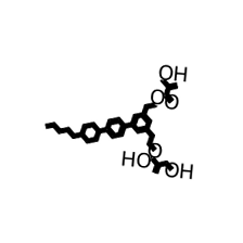 C=C(CO)C(=O)OCCc1cc(CCOC(O)C(=C)CO)cc(-c2ccc(C3CCC(CCCCC)CC3)cc2)c1